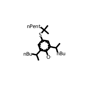 CCCCCC(C)(C)Sc1cc(C(C)CCCC)c([O])c(C(C)CCCC)c1